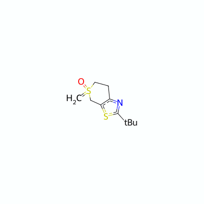 C=S1(=O)CCc2nc(C(C)(C)C)sc2C1